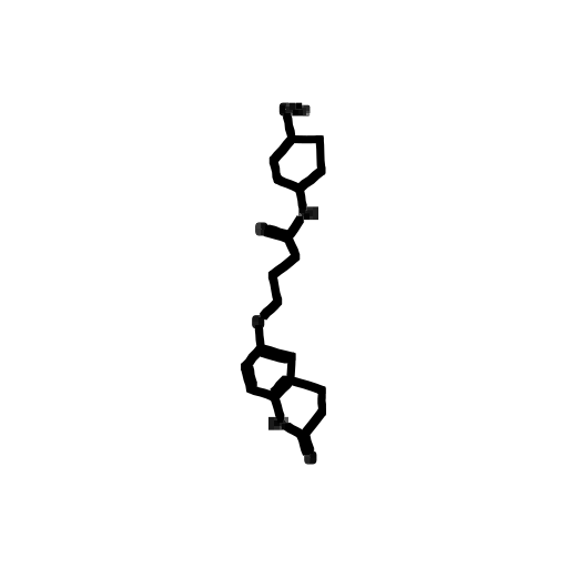 COC1CCC(NC(=O)CCCOc2ccc3c(c2)CCC(=O)N3)CC1